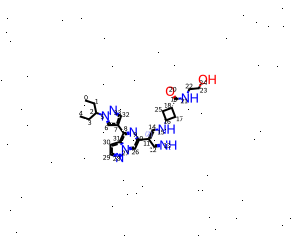 CCC(CC)n1cc(-c2nc(/C(C=N)=C/N[C@H]3C[C@@H](C(=O)NCCO)C3)cn3nccc23)cn1